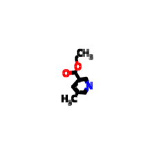 CCOC(=O)c1cncc(C)c1